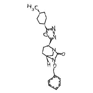 C[C@H]1CC[C@@H](c2nnc([C@@H]3CC[C@@H]4CN3C(=O)N4OCc3ccccc3)o2)CC1